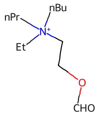 CCCC[N+](CC)(CCC)CCOC=O